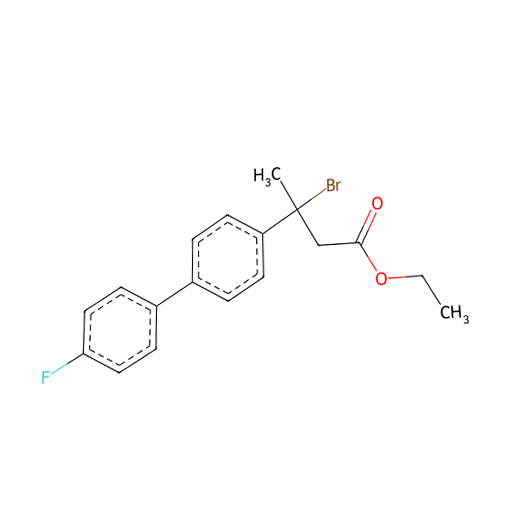 CCOC(=O)CC(C)(Br)c1ccc(-c2ccc(F)cc2)cc1